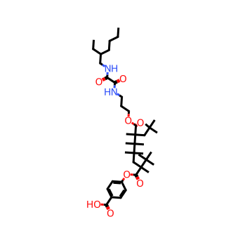 CCCCC(CC)CNC(=O)C(=O)NCCCOC(=O)C(C)(CC(C)(C)C)C(C)(C)C(C)(C)CC(C)(C(=O)Oc1ccc(C(=O)O)cc1)C(C)(C)C